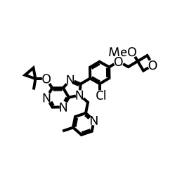 COC1(COc2ccc(-c3nc4c(OC5(C)CC5)ncnc4n3Cc3cc(C)ccn3)c(Cl)c2)COC1